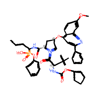 CCCC(NC(=O)[C@@H]1C[C@@H](Oc2cc(-c3ccccc3)nc3cc(OC)ccc23)CN1C(=O)[C@@H](NC(=O)OC1CCCC1)C(C)(C)C)P(=O)(O)Oc1ccccc1